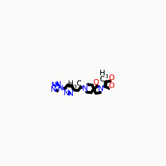 CC1=C(N2CCC3(CCN([C@H](C)Cc4ccc(-n5cnnn5)nn4)CC3)C2=O)COC1=O